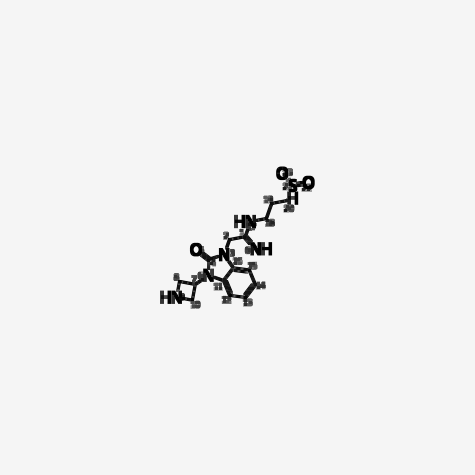 N=C(Cn1c(=O)n(C2CNC2)c2ccccc21)NCCC[SH](=O)=O